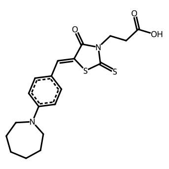 O=C(O)CCN1C(=O)C(=Cc2ccc(N3CCCCCC3)cc2)SC1=S